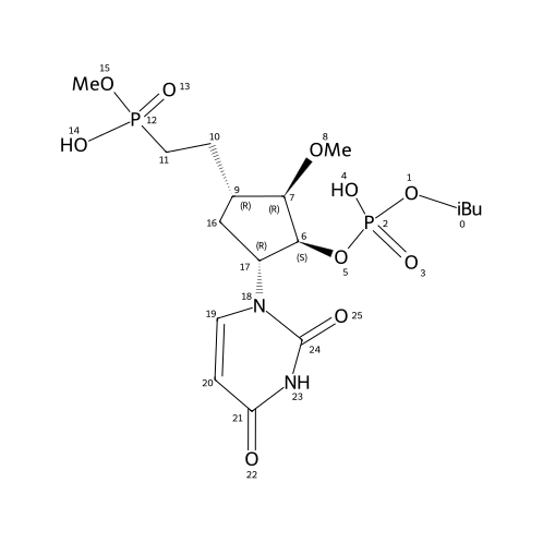 CCC(C)OP(=O)(O)O[C@@H]1[C@H](OC)[C@@H](CCP(=O)(O)OC)C[C@H]1n1ccc(=O)[nH]c1=O